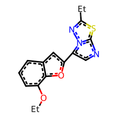 CCOc1cccc2cc(-c3cnc4sc(CC)nn34)oc12